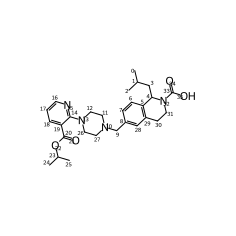 CC(C)CC1c2ccc(CN3CCN(c4ncccc4C(=O)OC(C)C)CC3)cc2CCN1C(=O)O